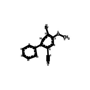 COc1cc(C#N)c(-c2ccccc2)cc1Br